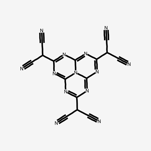 N#CC(C#N)C1=NC2=NC(C(C#N)C#N)=NC3=NC(C(C#N)C#N)=NC(=N1)N23